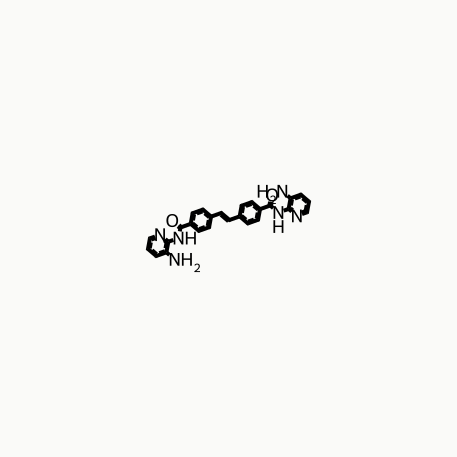 Nc1cccnc1NC(=O)c1ccc(C=Cc2ccc(C(=O)Nc3ncccc3N)cc2)cc1